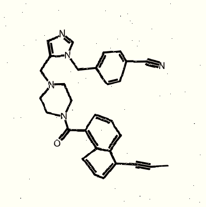 CC#Cc1cccc2c(C(=O)N3CCN(Cc4cncn4Cc4ccc(C#N)cc4)CC3)cccc12